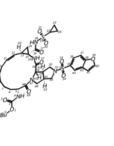 CC(C)(C)OC(=O)N[C@@H]1CCCCC/C=C\[C@H]2C[C@@]2(C(=O)NS(=O)(=O)C2CC2)NC(=O)[C@@H]2[C@H]3CN(S(=O)(=O)c4ccc5occc5c4)C[C@H]3CN2C1=O